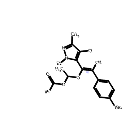 CCn1nc(C)c(Cl)c1/C(OC(C)OC(=O)C(C)C)=C(\C#N)c1ccc(C(C)(C)C)cc1